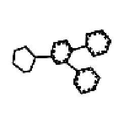 c1ccc(-c2ccc(C3CCCCC3)cc2-c2ccccc2)cc1